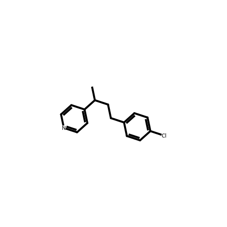 CC(CCc1ccc(Cl)cc1)c1ccncc1